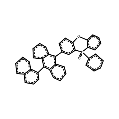 O=P1(c2ccccc2)c2ccccc2Oc2ccc(-c3c4ccccc4c(-c4cccc5ccccc45)c4ccccc34)cc21